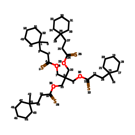 CC1(CCC(=S)OCC(COC(=S)CCC2(C)CCCCC2)(COC(=S)CCC2(C)CCCCC2)COC(=S)CCC2(C)CCCCC2)CCCCC1